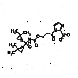 CC1(C)CN1P(=O)(NC(=O)OCCC(=O)n1ccnc1[N+](=O)[O-])N1CC1(C)C